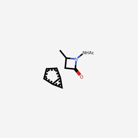 CC(=O)NN1C(=O)CC1C.c1cc2cc-2c1